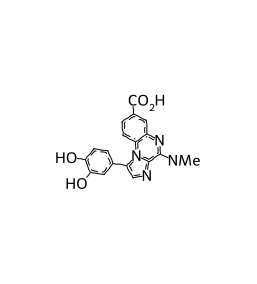 CNc1nc2cc(C(=O)O)ccc2n2c(-c3ccc(O)c(O)c3)cnc12